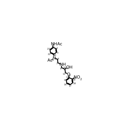 CC(=O)Nc1ccc(N(CCNCC(O)COc2ccccc2[N+](=O)[O-])C(C)=O)cc1